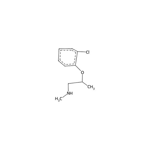 CNCC(C)Oc1ccccc1Cl